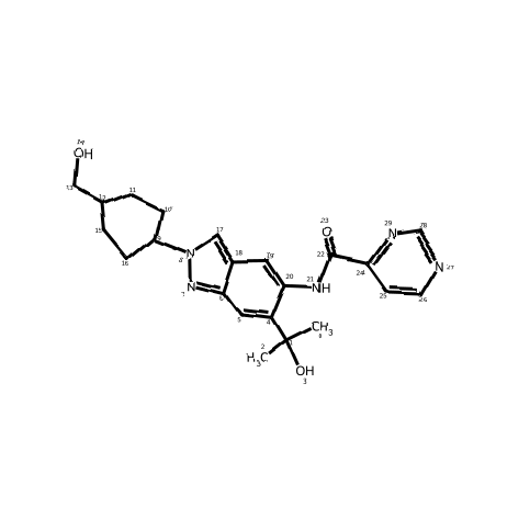 CC(C)(O)c1cc2nn(C3CCC(CO)CC3)cc2cc1NC(=O)c1ccncn1